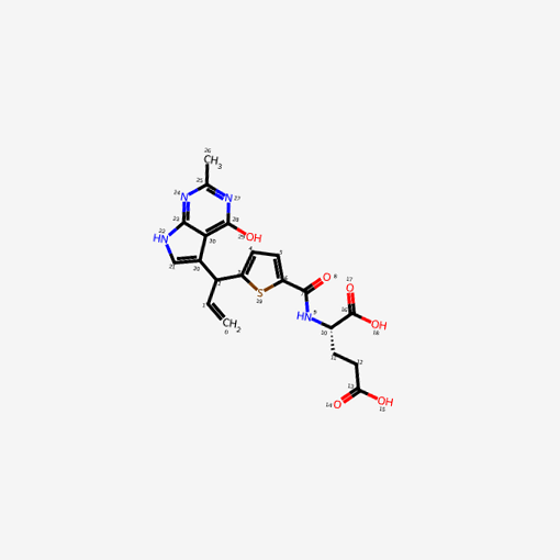 C=CC(c1ccc(C(=O)N[C@@H](CCC(=O)O)C(=O)O)s1)c1c[nH]c2nc(C)nc(O)c12